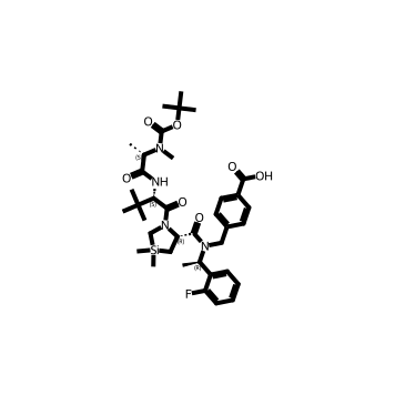 C[C@H](c1ccccc1F)N(Cc1ccc(C(=O)O)cc1)C(=O)[C@@H]1C[Si](C)(C)CN1C(=O)[C@@H](NC(=O)[C@H](C)N(C)C(=O)OC(C)(C)C)C(C)(C)C